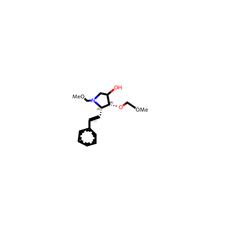 COCO[C@H]1C(O)CN(COC)[C@H]1/C=C/c1ccccc1